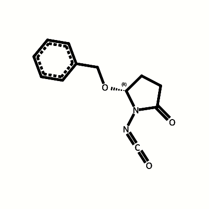 O=C=NN1C(=O)CC[C@H]1OCc1ccccc1